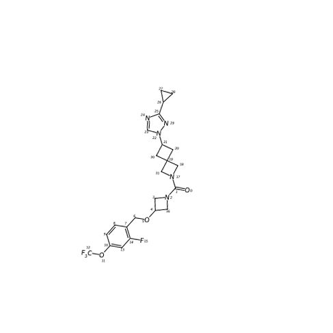 O=C(N1CC(OCc2ccc(OC(F)(F)F)cc2F)C1)N1CC2(CC(n3cnc(C4CC4)n3)C2)C1